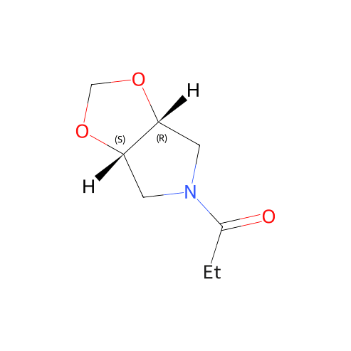 CCC(=O)N1C[C@@H]2OCO[C@@H]2C1